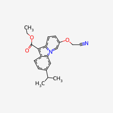 CCOC(=O)c1c2ccc(C(C)C)cc2n2cc(OCC#N)ccc12